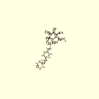 CCn1c(N)c(NC(=O)/C=C/c2ccc(OCC3(F)CCOCC3)cc2)c(=O)n(CC)c1=O